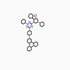 c1ccc(-c2cc(-c3nc(-c4ccccc4)nc(-c4ccc(-c5ccc6c7ccccc7c7ccccc7c6c5)cc4)n3)c3c(c2)oc2ccccc23)cc1